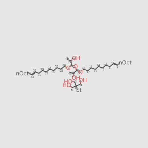 CCC(CO)(CO)CO.CCCCCCCCC=CCCCCCCCCOC(OC(OCCCCCCCCC=CCCCCCCCC)C(C)O)C(C)O